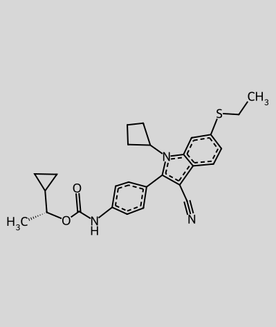 CCSc1ccc2c(C#N)c(-c3ccc(NC(=O)O[C@H](C)C4CC4)cc3)n(C3CCC3)c2c1